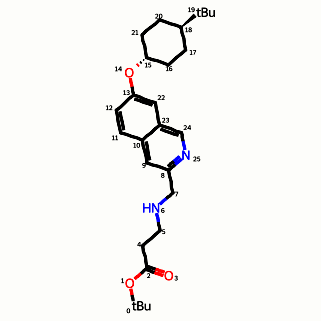 CC(C)(C)OC(=O)CCNCc1cc2ccc(O[C@H]3CC[C@H](C(C)(C)C)CC3)cc2cn1